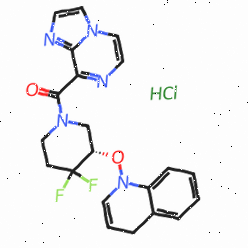 Cl.O=C(c1nccn2ccnc12)N1CCC(F)(F)[C@@H](ON2C=CCc3ccccc32)C1